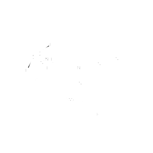 COc1cc(C(=O)N2C[C@H]3CC[C@@H]2[C@@H]3N)cc2nc(-c3cc4cccnc4n3CC3CC3)n([C@H]3C[C@@H](F)C3)c12